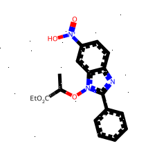 CCOC(=O)C(C)On1c(-c2ccccc2)nc2ccc([N+](=O)O)cc21